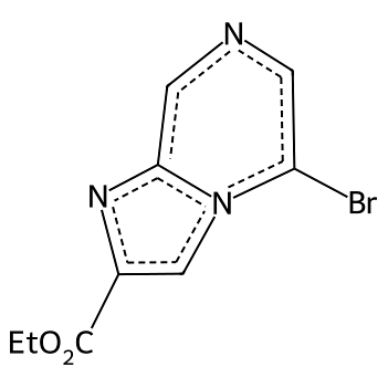 CCOC(=O)c1cn2c(Br)cncc2n1